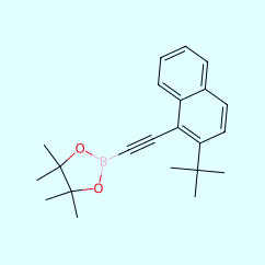 CC(C)(C)c1ccc2ccccc2c1C#CB1OC(C)(C)C(C)(C)O1